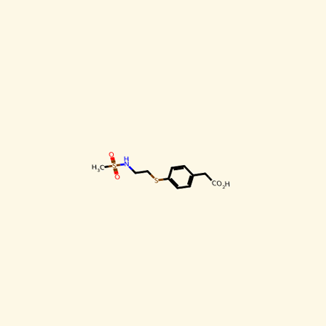 CS(=O)(=O)NCCSc1ccc(CC(=O)O)cc1